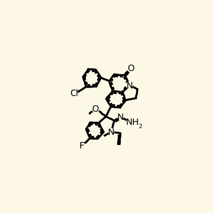 C=CN(C)/C(=N\N)C(OC)(c1ccc(F)cc1)c1cc2c3c(c1)c(-c1cccc(Cl)c1)cc(=O)n3CC2